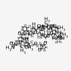 CC[C@H](C)[C@@H]([C@@H](CC(=O)N1CCCC1[C@H](OC)[C@@H](C)C(=O)N[C@@H](Cc1cccc(NC(=O)C(CCCNC(N)=O)NC(=O)C(NC(=O)CCOCCN2C(=O)C=CC2=O)C(C)C)c1)c1nccs1)OC)N(C)C(=O)C(NC(=O)[C@@H]1[C@H]2CC[C@H](C2)N1C)C(C)C